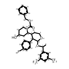 CC(OC1OCCC(C2CC(O)CCN2C(=O)OCc2ccccc2)C1c1ccc(F)cc1)c1cc(C(F)(F)F)cc(C(F)(F)F)c1